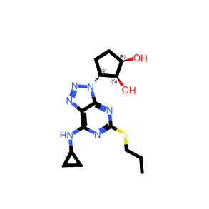 CCCSc1nc(NC2CC2)c2nnn([C@@H]3CC[C@@H](O)[C@H]3O)c2n1